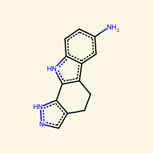 Nc1ccc2[nH]c3c(c2c1)CCc1cn[nH]c1-3